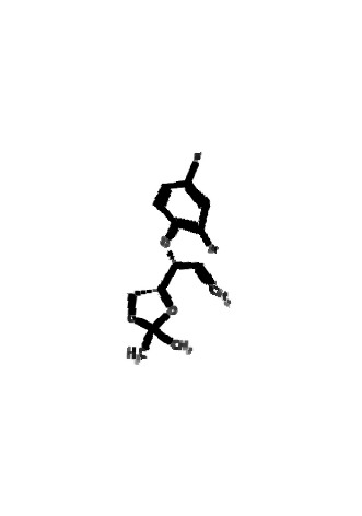 C=C[C@@H](Oc1ccc(F)cc1Br)[C@H]1COC(C)(C)O1